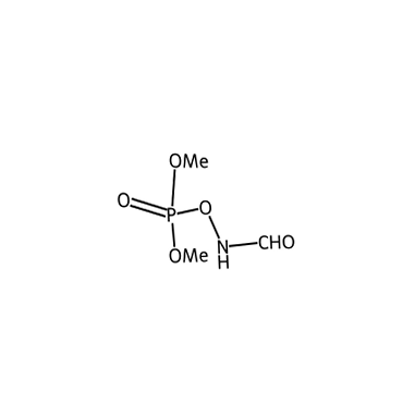 COP(=O)(OC)ONC=O